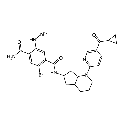 CCCNc1cc(C(=O)NC2CC3CCCN(c4ccc(C(=O)C5CC5)cn4)C3C2)c(Br)cc1C(N)=O